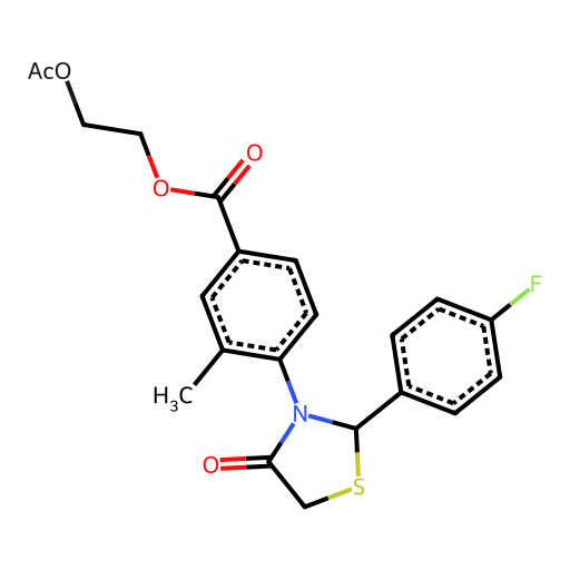 CC(=O)OCCOC(=O)c1ccc(N2C(=O)CSC2c2ccc(F)cc2)c(C)c1